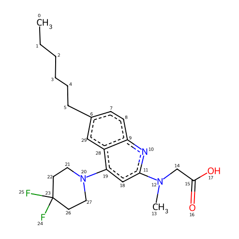 CCCCCCc1ccc2nc(N(C)CC(=O)O)cc(N3CCC(F)(F)CC3)c2c1